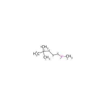 C[I+]CCCC(C)(C)C